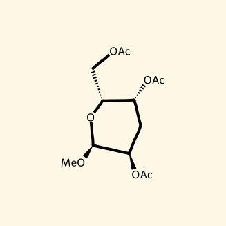 CO[C@H]1O[C@H](COC(C)=O)[C@H](OC(C)=O)C[C@H]1OC(C)=O